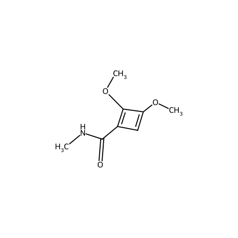 CNC(=O)C1=C(OC)C(OC)=C1